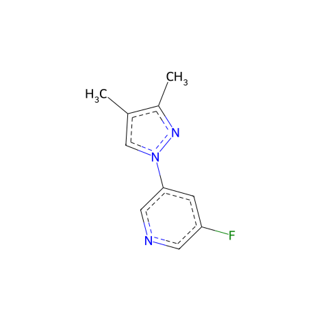 Cc1cn(-c2cncc(F)c2)nc1C